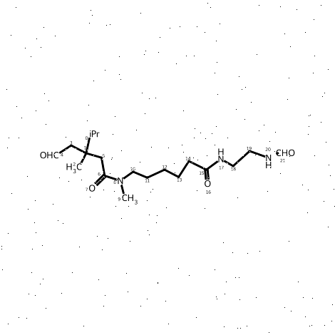 CC(C)C(C)(CC=O)CC(=O)N(C)CCCCCC(=O)NCCNC=O